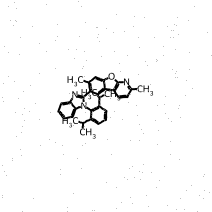 Cc1ccc2c(n1)oc1cc(C)c(-c3nc4ccccc4n3-c3c(C(C)C)cccc3C(C)C)cc12